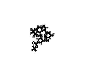 CC(C)(C)OC(=O)N1C[C@H](Nc2cc(F)cc(-c3cnc4ccc(C(C)(O)C(F)(F)F)cn34)n2)[C@@H](F)C1